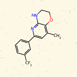 Cc1cc(-c2cccc(C(F)(F)F)c2)nc2c1OCCN2